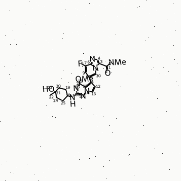 CNC(=O)c1cnc2c(F)cc(-c3ccn4nc(NC5CCC(C)(O)CC5)nc(OC)c34)cn12